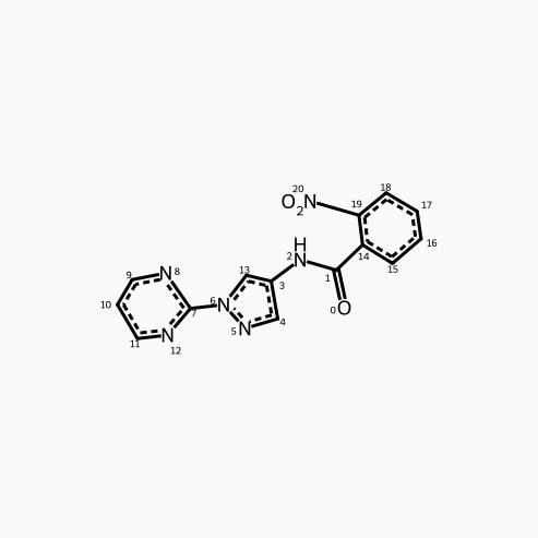 O=C(Nc1cnn(-c2ncccn2)c1)c1ccccc1[N+](=O)[O-]